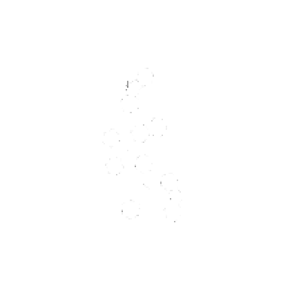 Cc1ccc2c(c1)c1cc(-c3cc4c(c5ccccc35)-c3ccc(/C=C(/Cc5ccccc5)c5cccc6sc7ccccc7c56)cc3C4(c3ccccc3)c3ccccc3)ccc1n2C